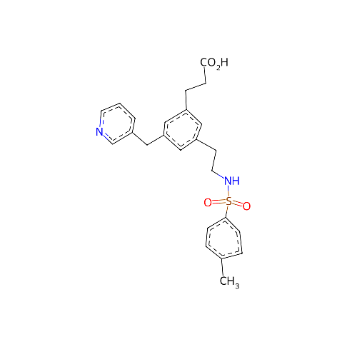 Cc1ccc(S(=O)(=O)NCCc2cc(CCC(=O)O)cc(Cc3cccnc3)c2)cc1